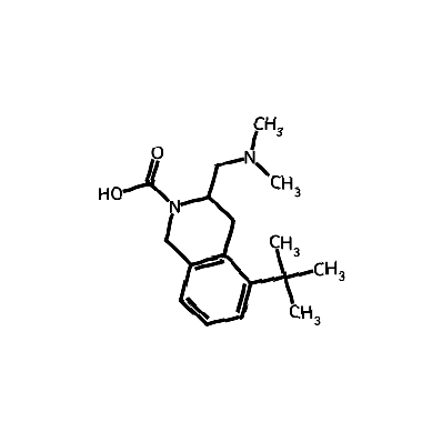 CN(C)CC1Cc2c(cccc2C(C)(C)C)CN1C(=O)O